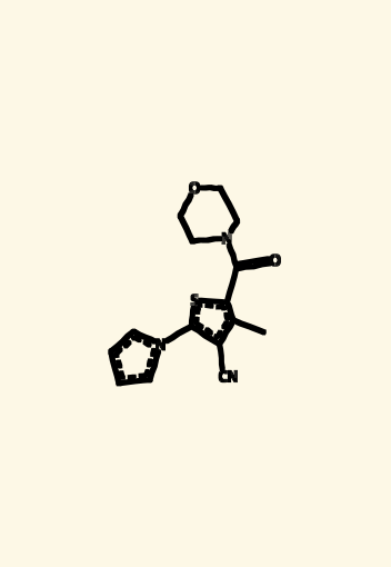 Cc1c(C(=O)N2CCOCC2)sc(-n2cccc2)c1C#N